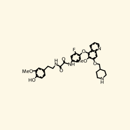 COc1cc(CCNC(=O)C(=O)Nc2ccc(Oc3c(OC)c(OCC4CCNCC4)cc4ncccc34)c(F)c2)ccc1O